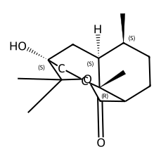 C[C@H]1CCC2C(=O)OC(C)(C)[C@]3(O)CC[C@]2(C)[C@H]1C3